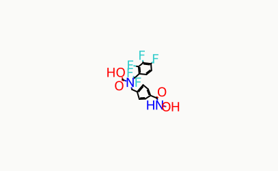 O=C(NO)c1ccc(CN(C(=O)O)C(F)(F)c2ccc(F)c(F)c2F)cc1